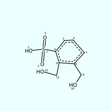 O=S(=O)(O)c1cccc(CO)c1CO